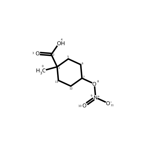 CC1(C(=O)O)CCC(O[N+](=O)[O-])CC1